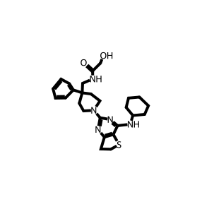 O=C(CO)NCC1(c2ccccc2)CCN(c2nc3c(c(NC4CCCCC4)n2)SCC3)CC1